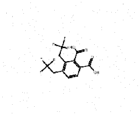 O=C(O)c1ccc(CC(F)(F)F)c(CC(F)(F)F)c1C(=O)O